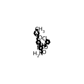 CN1CCCN(C(=O)CC2CCN(c3ncc(C(N)=O)cc3NC(=O)c3cccc(Cl)c3)CC2)CC1